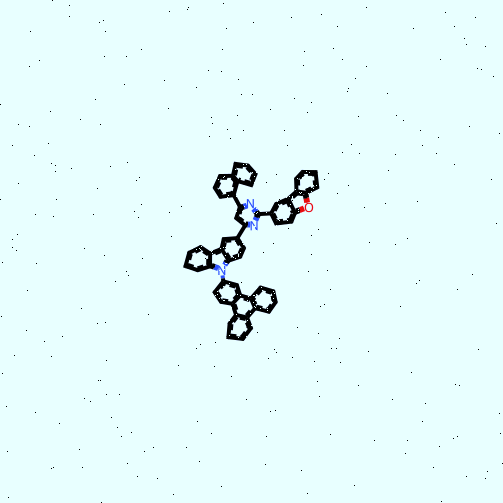 c1ccc2c(-c3cc(-c4ccc5c(c4)c4ccccc4n5-c4ccc5c6ccccc6c6ccccc6c5c4)nc(-c4ccc5oc6ccccc6c5c4)n3)cccc2c1